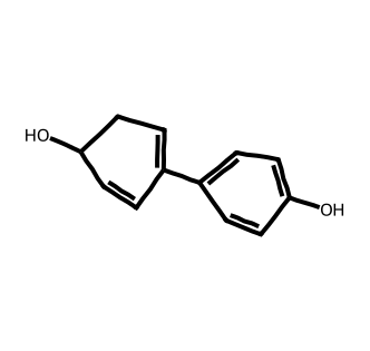 Oc1ccc(C2=CCC(O)C=C2)cc1